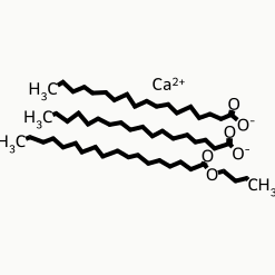 CCCCCCCCCCCCCCCCCC(=O)OCCCC.CCCCCCCCCCCCCCCCCC(=O)[O-].CCCCCCCCCCCCCCCCCC(=O)[O-].[Ca+2]